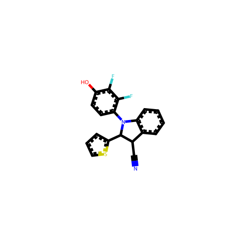 N#CC1c2ccccc2N(c2ccc(O)c(F)c2F)C1c1cccs1